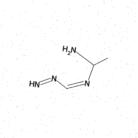 CC(N)/N=C\N=N